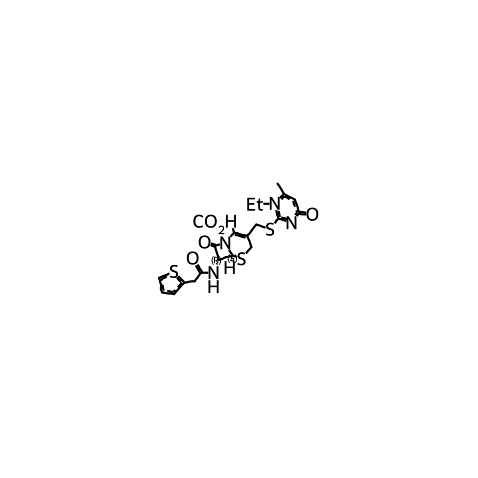 CCn1c(C)cc(=O)nc1SCC1=C(C(=O)O)N2C(=O)[C@@H](NC(=O)Cc3cccs3)[C@@H]2SC1